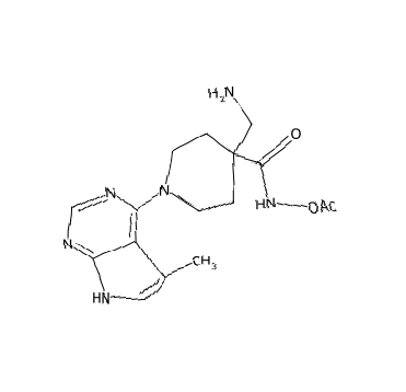 CC(=O)ONC(=O)C1(CN)CCN(c2ncnc3[nH]cc(C)c23)CC1